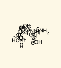 CCn1cc(C[N+]2(CC3=C(C(=O)O)N4C(=O)[C@@H](NC(=O)/C(=N\OC(C)(C)C(=O)O)c5csc(N)n5)[C@@]4(C)SC3)CCCC2)c(=O)c2cc(F)c(O)c(O)c21